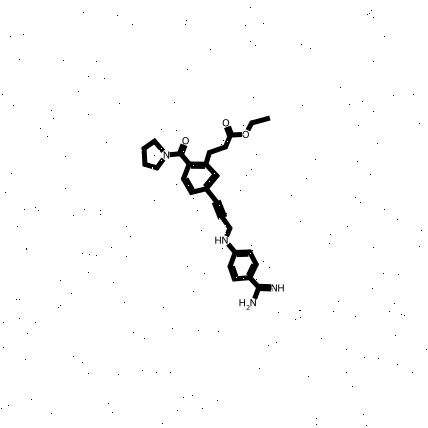 CCOC(=O)CCc1cc(C#CCNc2ccc(C(=N)N)cc2)ccc1C(=O)N1CCCC1